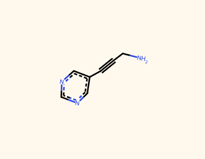 NCC#Cc1cncnc1